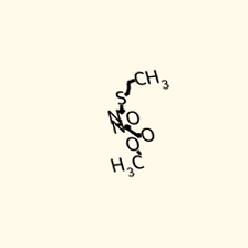 CCCSc1nnc(C(=O)OCC)o1